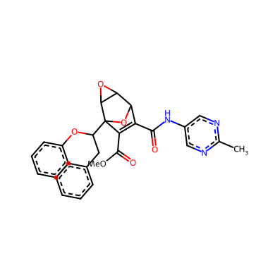 COC(=O)C1=C(C(=O)Nc2cnc(C)nc2)C2OC1(C(Cc1ccccc1)Oc1ccccc1)C1OC21